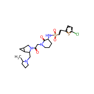 CC1CCCN1CC1C2CC2CN1C(=O)CN1CCC[C@H](NS(=O)(=O)/C=C/c2ccc(Cl)s2)C1=O